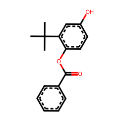 CC(C)(C)c1cc(O)ccc1OC(=O)c1ccccc1